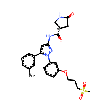 CCCc1cccc(-c2cc(NC(=O)[C@@H]3CNC(=O)C3)nn2-c2cccc(OCCCS(C)(=O)=O)c2)c1